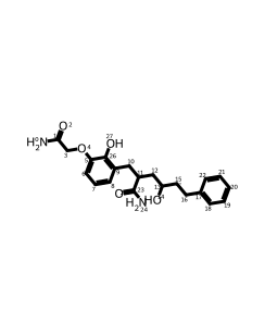 NC(=O)COc1cccc(CC(CC(O)[CH]Cc2ccccc2)C(N)=O)c1O